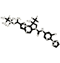 CC(O[Si](C)(C)C(C)(C)C)c1cc2ncc3c(n2n1)C(C)(C(F)(F)F)CN3C(=O)Nc1cnc(-n2nccn2)c(Cl)c1